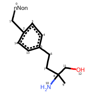 CCCCCCCCCCc1ccc(CCC(C)(N)CO)cc1